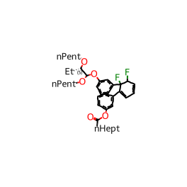 CCCCCCCC(=O)Oc1cccc(C2=CC=CC(F)C2(F)c2cccc(OC(OCCCCC)[C@H](CC)OCCCCC)c2)c1